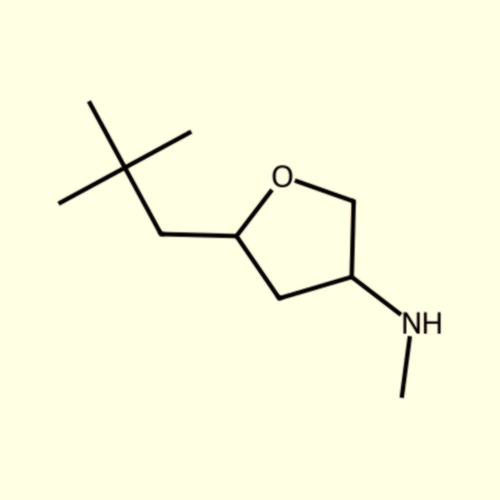 CNC1COC(CC(C)(C)C)C1